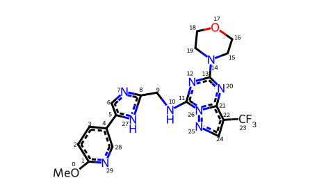 COc1ccc(-c2cnc(CNc3nc(N4CCOCC4)nc4c(C(F)(F)F)cnn34)[nH]2)cn1